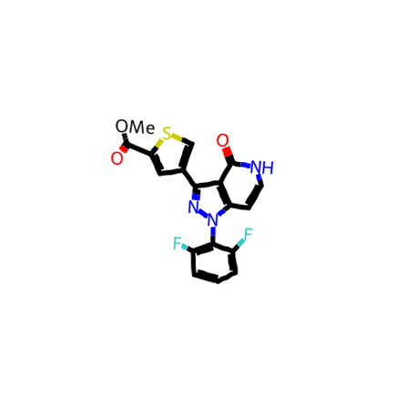 COC(=O)c1cc(-c2nn(-c3c(F)cccc3F)c3cc[nH]c(=O)c23)cs1